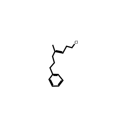 CC(=CCCCl)CCCc1ccccc1